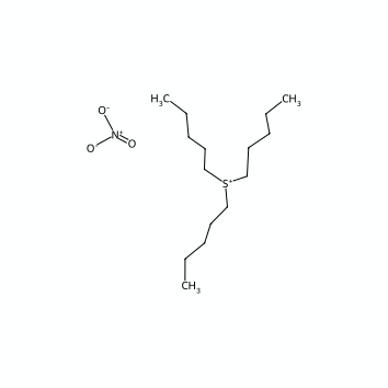 CCCCC[S+](CCCCC)CCCCC.O=[N+]([O-])[O-]